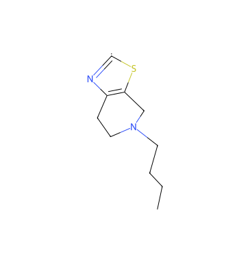 CCCCN1CCc2n[c]sc2C1